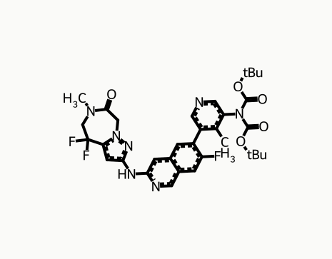 Cc1c(-c2cc3cc(Nc4cc5n(n4)CC(=O)N(C)CC5(F)F)ncc3cc2F)cncc1N(C(=O)OC(C)(C)C)C(=O)OC(C)(C)C